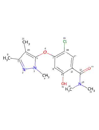 Cc1nn(C)c(Oc2cc(O)c(C(=O)N(C)C)cc2Cl)c1C